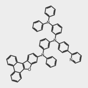 c1ccc(N(c2ccccc2)c2cccc(N(c3ccc(-c4ccccn4)cc3)c3cccc(N(c4ccccc4)c4ccc5c(c4)oc4c6ccccc6c6ccccc6c54)c3)c2)cc1